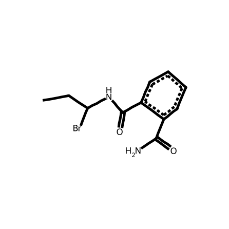 CCC(Br)NC(=O)c1ccccc1C(N)=O